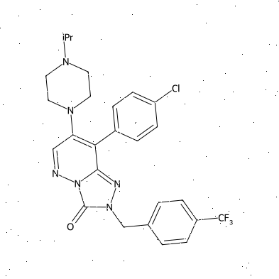 CC(C)N1CCN(c2cnn3c(=O)n(Cc4ccc(C(F)(F)F)cc4)nc3c2-c2ccc(Cl)cc2)CC1